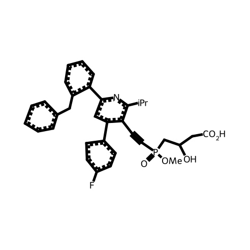 COP(=O)(C#Cc1c(-c2ccc(F)cc2)cc(-c2ccccc2Cc2ccccc2)nc1C(C)C)CC(O)CC(=O)O